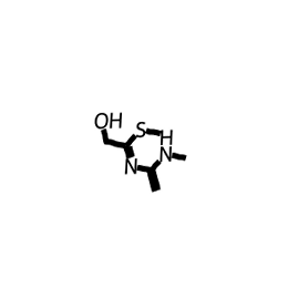 C=C(/N=C(/CO)SC)NC